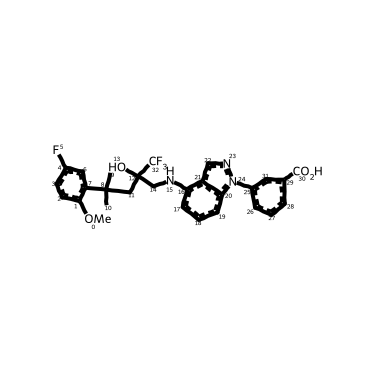 COc1ccc(F)cc1C(C)(C)CC(O)(CNc1cccc2c1cnn2-c1cccc(C(=O)O)c1)C(F)(F)F